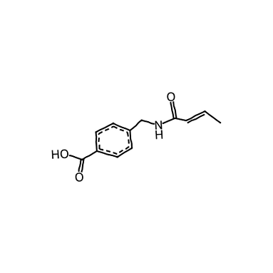 CC=CC(=O)NCc1ccc(C(=O)O)cc1